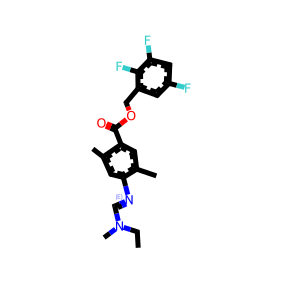 CCN(C)/C=N/c1cc(C)c(C(=O)OCc2cc(F)cc(F)c2F)cc1C